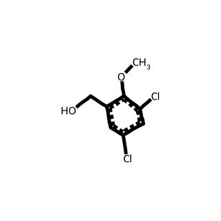 COc1c(Cl)cc(Cl)cc1CO